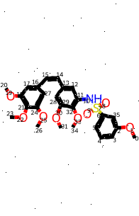 COc1cccc(S(=O)(=O)Nc2cc(/C=C\c3cc(OC)c(OC)c(OC)c3)cc(OC)c2OC)c1